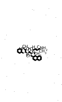 CNC(=O)[C@@H](Cc1ccccc1)N(C)C(=O)[C@@H](Cc1ccc2ccccc2c1)N(C)C(=O)/C=C/C(C)(C)N